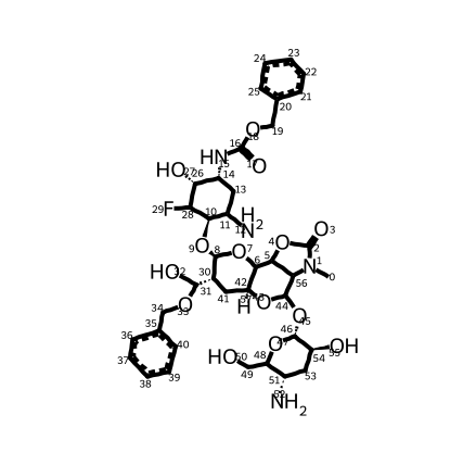 CN1C(=O)OC2C3O[C@H](O[C@@H]4C(N)C[C@@H](NC(=O)OCc5ccccc5)[C@@H](O)C4F)[C@@H](C(O)OCc4ccccc4)C[C@@H]3OC(O[C@H]3OC(CO)[C@@H](N)C[C@@H]3O)C21